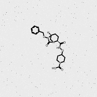 O=C(NOC1CCN(C(=O)O)CC1)[C@@H]1CC[C@@H]2CN1C(=O)N2OCc1ccccc1